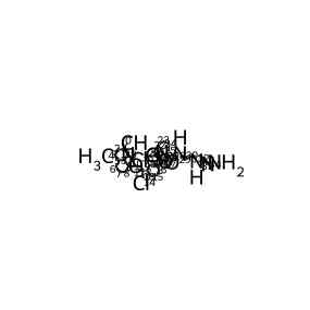 Cc1cc(C)c2cccc(OCc3c(Cl)ccc(S(=O)(=O)N4CCC[C@H]4C(=O)NCCNC=NN)c3Cl)c2n1